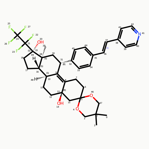 CC1(C)COC2(CCC3=C4[C@@H](CC[C@@]3(O)C2)[C@@H]2CC[C@@](O)(C(F)(F)C(F)(F)F)[C@@]2(C)C[C@@H]4c2ccc(/C=C/c3ccncc3)cc2)OC1